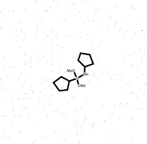 CO[Si](NC1CCCC1)(OC)C1CCCC1